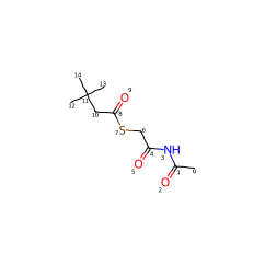 CC(=O)NC(=O)CSC(=O)CC(C)(C)C